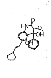 COC1C(=O)Nc2ccc(C=CC3CCCC3)c(O)c2C1(O)c1ccccc1